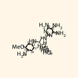 COc1cc(NCCNc2nc(N)c(N)c(N)n2)ccc1N.Cl.Cl.Cl.Cl